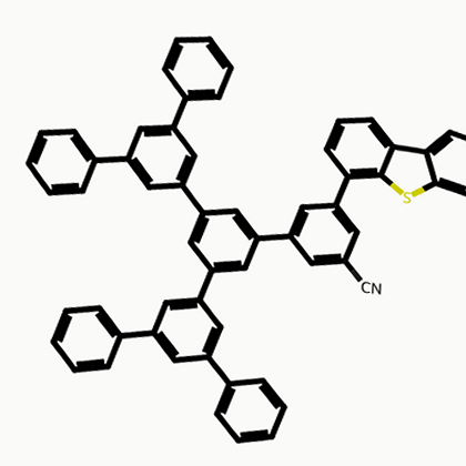 N#Cc1cc(-c2cc(-c3cc(-c4ccccc4)cc(-c4ccccc4)c3)cc(-c3cc(-c4ccccc4)cc(-c4ccccc4)c3)c2)cc(-c2cccc3c2sc2ccccc23)c1